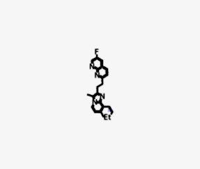 CC/C=C\c1c(C)ccn2c(C)c(CCc3ccc4cc(F)cnc4n3)nc12